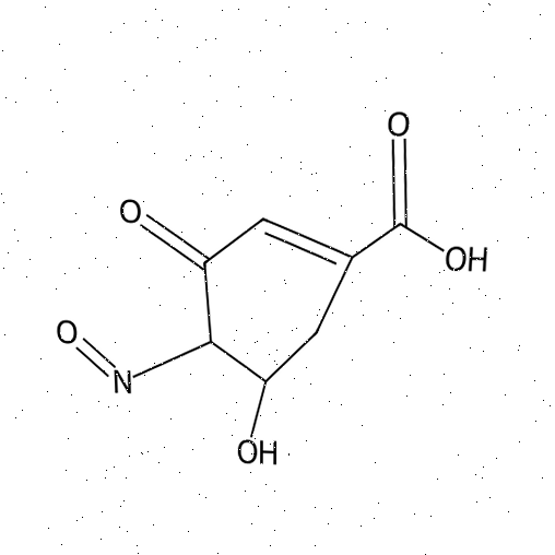 O=NC1C(=O)C=C(C(=O)O)CC1O